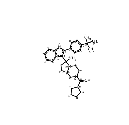 CCC(C)(c1c(-c2ccc(C(C)(C)C)cc2)nc2ccccn12)N1CCN(C(=O)C2CCCC2)CC1